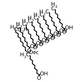 CCCCCCCCCC(=O)O.CCCCCCCCCC(=O)O.CCCCCCCCCC(=O)O.CCCCCCCCCC(=O)O.CCCCCCCCCC(=O)O.CCCCCCCCCC(=O)O.CCCCCCCCCC(=O)O.CCCCCCCCCC(=O)O.CCCCCCCCCCCCCCCCCCCC(=O)O